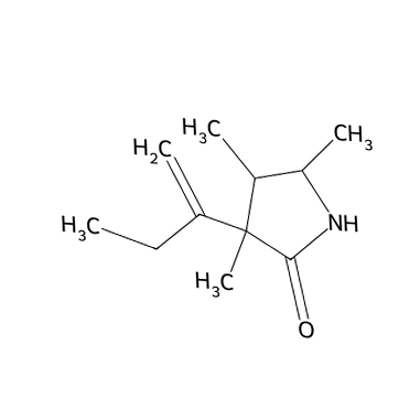 C=C(CC)C1(C)C(=O)NC(C)C1C